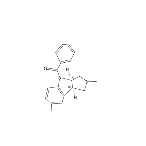 Cc1ccc2c(c1)[C@@H]1CN(C)C[C@@H]1N2C(=O)c1ccccc1